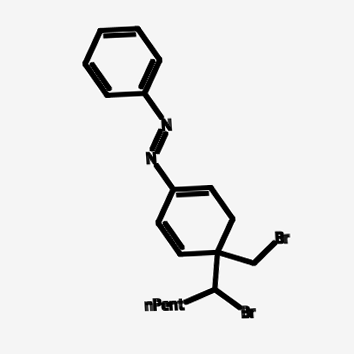 CCCCCC(Br)C1(CBr)C=CC(N=Nc2ccccc2)=CC1